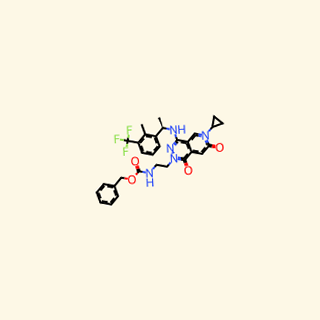 Cc1c([C@@H](C)Nc2nn(CCNC(=O)OCc3ccccc3)c(=O)c3cc(=O)n(C4CC4)cc23)cccc1C(F)(F)F